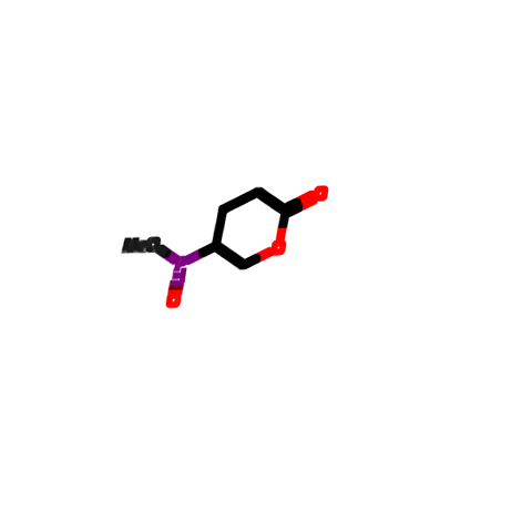 CO[PH](=O)C1CCC(=O)OC1